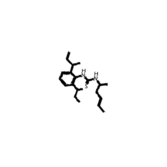 CCCCC(C)NC(=S)Nc1c(C(C)CC)cccc1C(C)CC